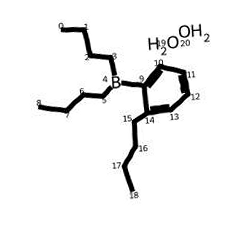 CCCCB(CCCC)c1ccccc1CCCC.O.O